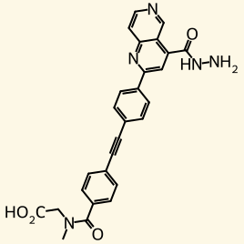 CN(CC(=O)O)C(=O)c1ccc(C#Cc2ccc(-c3cc(C(=O)NN)c4cnccc4n3)cc2)cc1